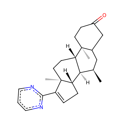 C[C@@H]1CC2CC(=O)CC[C@]2(C)[C@H]2CC[C@]3(C)C(c4ncccn4)=CC[C@H]3[C@H]12